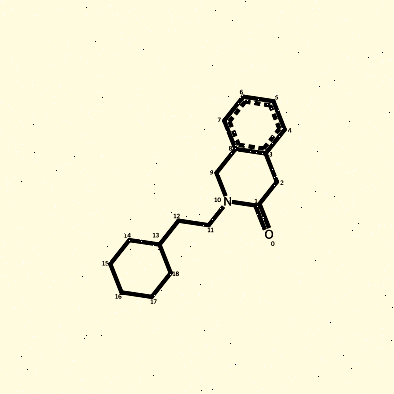 O=C1Cc2ccccc2CN1CCC1CCCCC1